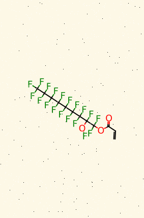 C=CC(=O)OC(F)(F)C(F)(OF)C(F)(F)C(F)(F)C(F)(F)C(F)(F)C(F)(F)C(F)(F)C(F)(F)F